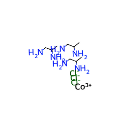 CC(N)CN.CC(N)CN.CC(N)CN.[Cl-].[Cl-].[Cl-].[Co+3]